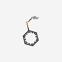 CCC[CH]Sc1ccccc1